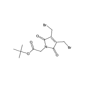 CC(C)(C)OC(=O)CN1C(=O)C(CBr)=C(CBr)C1=O